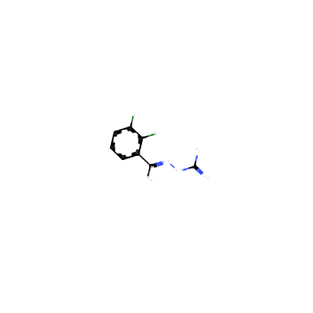 N#CC(=NNC(=N)N)c1cccc(Cl)c1Cl